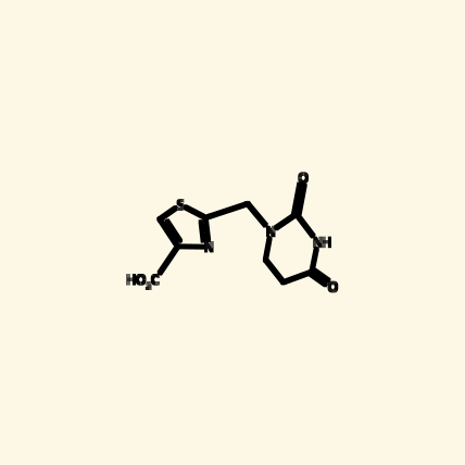 O=C1CCN(Cc2nc(C(=O)O)cs2)C(=O)N1